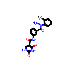 Cc1ccccc1N(N)C(=O)c1cccc(NC(=O)c2c[nH]c(=O)[nH]c2=O)c1